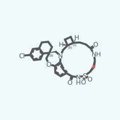 O=C1CC[C@@H]2CC[C@H]2CN2C[C@@]3(CCCc4cc(Cl)ccc43)COc3ccc(cc32)C(=O)NS(=O)(=O)C2CC(C2)N1